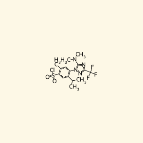 Cc1cc(-n2nc(C(F)(F)F)nc2N(C)C)c(C(C)C)cc1S(=O)(=O)Cl